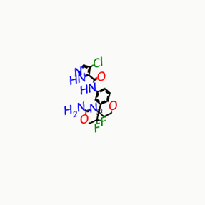 NC1=N[C@@]2(CCOc3ccc(NC(=O)c4[nH]ncc4Cl)cc32)C(F)(F)CO1